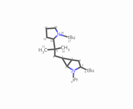 CC(C)N1C2C(CC1C(C)(C)C)C2CC(C)(C)C1CCCN1C(C)(C)C